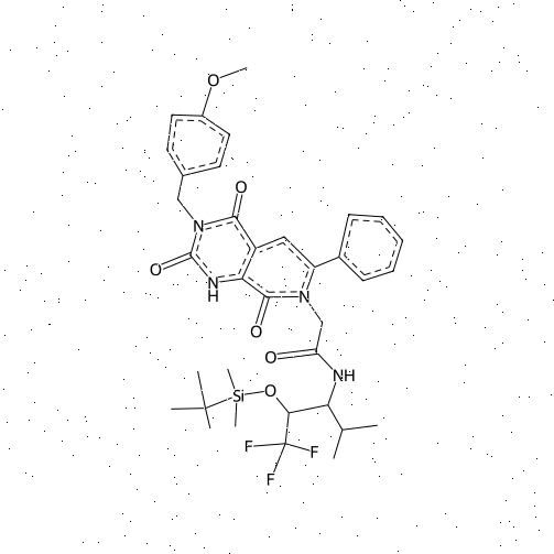 COc1ccc(Cn2c(=O)[nH]c3c(=O)n(CC(=O)NC(C(C)C)C(O[Si](C)(C)C(C)(C)C)C(F)(F)F)c(-c4ccccc4)cc3c2=O)cc1